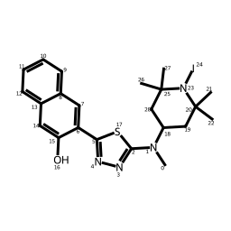 CN(c1nnc(-c2cc3ccccc3cc2O)s1)C1CC(C)(C)N(I)C(C)(C)C1